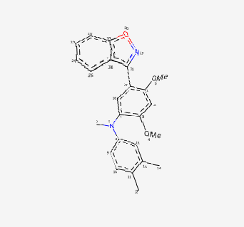 COc1cc(OC)c(N(C)c2ccc(C)c(C)c2)cc1-c1noc2ccccc12